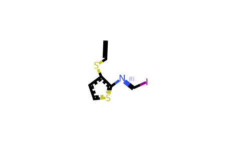 C=CSc1ccsc1/N=C/I